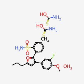 C.CCCc1cc(-c2ccc(OC)c(F)c2)c(-c2ccccc2S(N)(=O)=O)o1.NC(O)=S.NC(O)=S.O